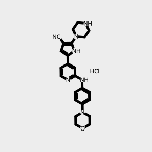 Cl.N#Cc1cc(-c2ccnc(Nc3ccc(N4CCOCC4)cc3)c2)[nH]c1N1CCNCC1